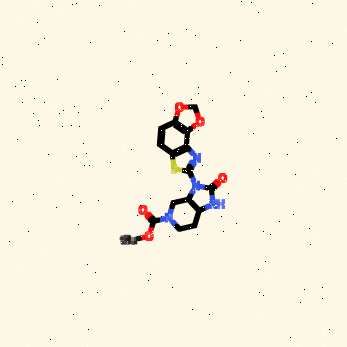 CC(C)(C)OC(=O)N1CCC2NC(=O)N(c3nc4c5c(ccc4s3)OCO5)C2C1